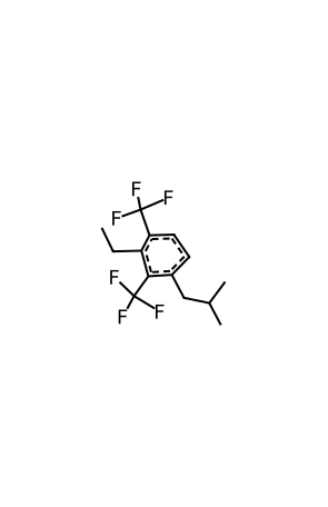 CCc1c(C(F)(F)F)ccc(CC(C)C)c1C(F)(F)F